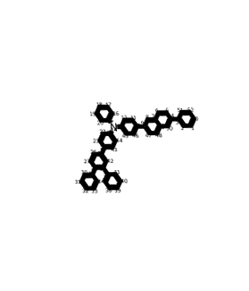 c1ccc(-c2ccc3cc(-c4ccc(N(c5ccccc5)c5ccc(-c6ccc(-c7ccccc7)c(-c7ccccc7)c6)cc5)cc4)ccc3c2)cc1